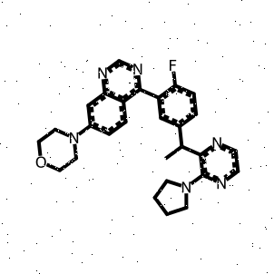 CC(c1ccc(F)c(-c2ncnc3cc(N4CCOCC4)ccc23)c1)c1nccnc1N1CCCC1